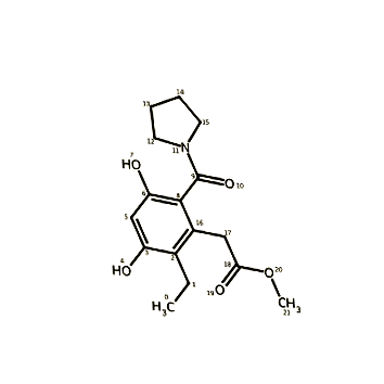 CCc1c(O)cc(O)c(C(=O)N2CCCC2)c1CC(=O)OC